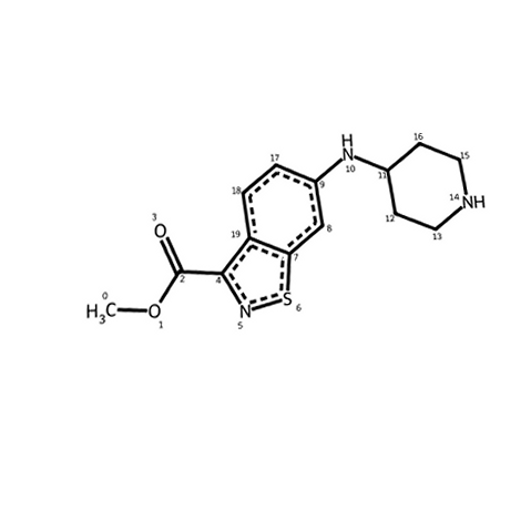 COC(=O)c1nsc2cc(NC3CCNCC3)ccc12